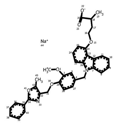 COc1cc(Cn2c3ccccc3c3c(OCCC(C)C(=O)[O-])cccc32)ccc1OCc1nc(-c2ccccc2)oc1C.[Na+]